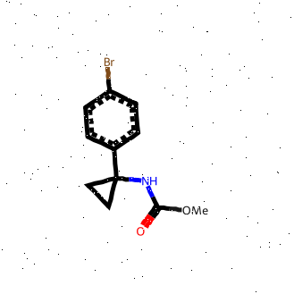 COC(=O)NC1(c2ccc(Br)cc2)CC1